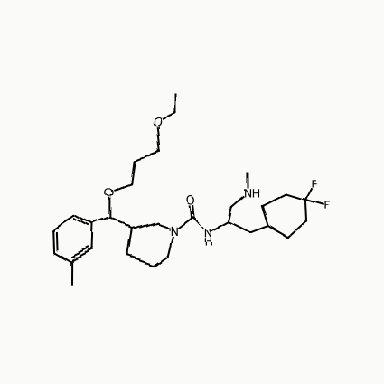 CCOCCCOC(c1cccc(C)c1)C1CCCN(C(=O)NC(CNC)CC2CCC(F)(F)CC2)C1